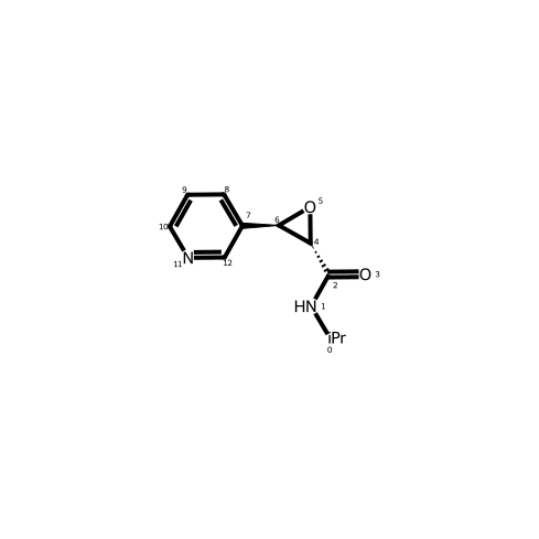 CC(C)NC(=O)[C@H]1O[C@@H]1c1cccnc1